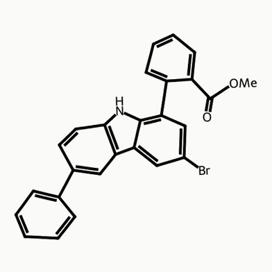 COC(=O)c1ccccc1-c1cc(Br)cc2c1[nH]c1ccc(-c3ccccc3)cc12